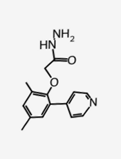 Cc1cc(C)c(OCC(=O)NN)c(-c2ccncc2)c1